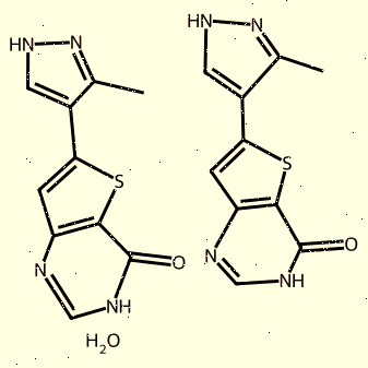 Cc1n[nH]cc1-c1cc2nc[nH]c(=O)c2s1.Cc1n[nH]cc1-c1cc2nc[nH]c(=O)c2s1.O